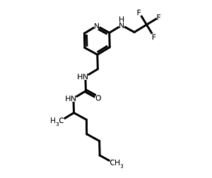 CCCCCC(C)NC(=O)NCc1ccnc(NCC(F)(F)F)c1